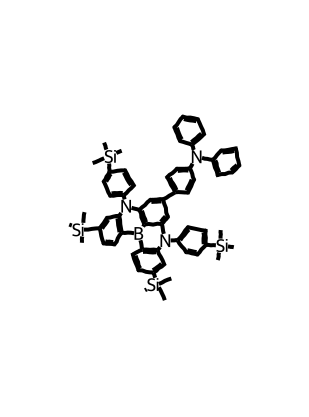 C[Si](C)(C)c1ccc(N2c3cc([Si](C)(C)C)ccc3B3c4ccc([Si](C)(C)C)cc4N(c4ccc([Si](C)(C)C)cc4)c4cc(-c5ccc(N(c6ccccc6)c6ccccc6)cc5)cc2c43)cc1